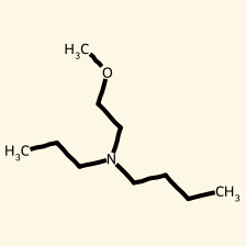 CCCCN(CCC)CCOC